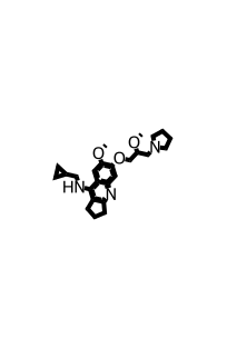 COc1cc2c(NCC3CC3)c3c(nc2cc1OCC(CN1CCCC1)OC)CCC3